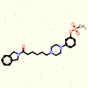 CS(=O)(=O)Oc1cccc(N2CCN(CCCCCC(=O)N3Cc4ccccc4C3)CC2)c1